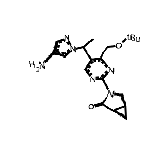 CC(c1cnc(N2CC3CC3C2=O)nc1COC(C)(C)C)n1cc(N)cn1